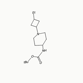 CCC1CC(N2CCC(NC(=O)OC(C)(C)C)CC2)C1